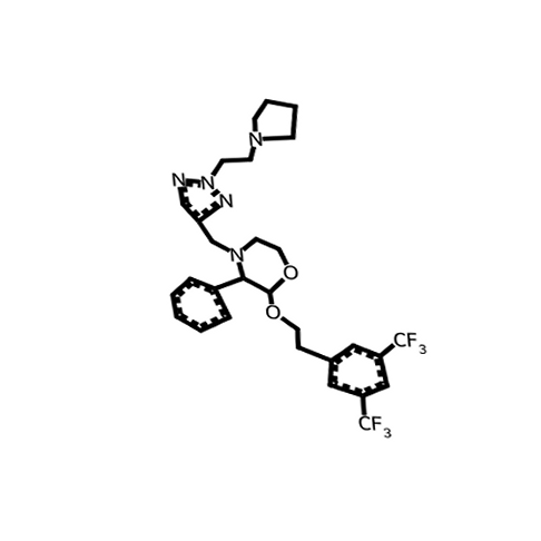 FC(F)(F)c1cc(CCOC2OCCN(Cc3cnn(CCN4CCCC4)n3)C2c2ccccc2)cc(C(F)(F)F)c1